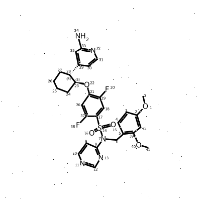 COc1ccc(CN(c2ccncn2)S(=O)(=O)c2cc(F)c(O[C@H]3CCCC[C@@H]3c3ccnc(N)c3)cc2F)c(OC)c1